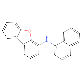 c1ccc2c(Nc3cccc4c3oc3ccccc34)cccc2c1